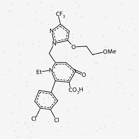 CCn1c(Cn2nc(C(F)(F)F)cc2OCCOC)cc(=O)c(C(=O)O)c1-c1ccc(Cl)c(Cl)c1